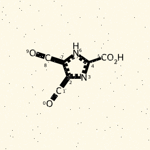 O=C=c1nc(C(=O)O)[nH]c1=C=O